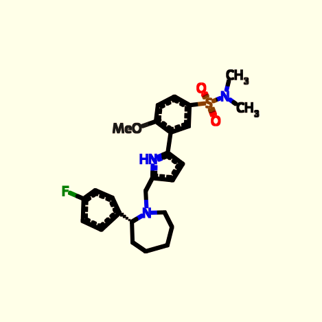 COc1ccc(S(=O)(=O)N(C)C)cc1-c1ccc(CN2CCCCC[C@@H]2c2ccc(F)cc2)[nH]1